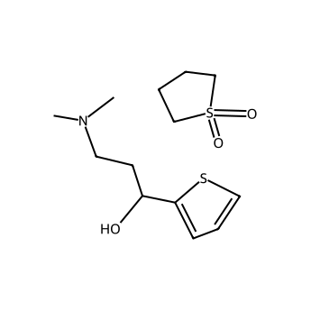 CN(C)CCC(O)c1cccs1.O=S1(=O)CCCC1